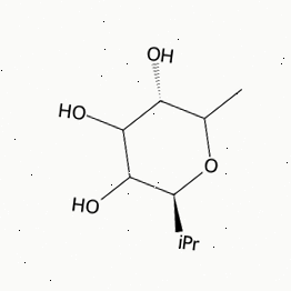 CC1O[C@@H](C(C)C)C(O)C(O)[C@@H]1O